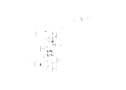 CCCCCCCC(CC)=NNC(=O)NNOC(C)(C)C